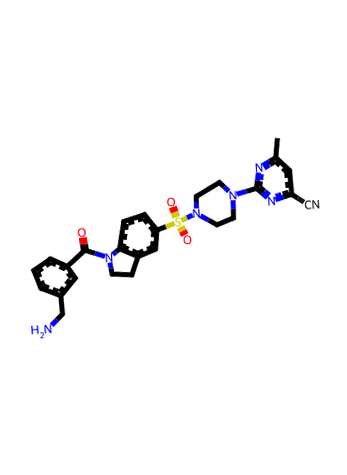 Cc1cc(C#N)nc(N2CCN(S(=O)(=O)c3ccc4c(c3)CCN4C(=O)c3cccc(CN)c3)CC2)n1